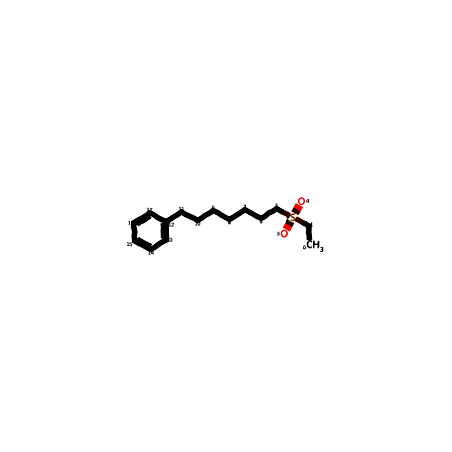 CCS(=O)(=O)CCCCCCCc1ccccc1